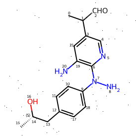 CC(C=O)c1cnc(N(N)c2ccc(C[C@H](C)O)cc2)c(N)c1